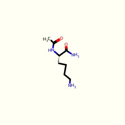 CC(=O)N[C@@H](CCCCN)C(N)=O